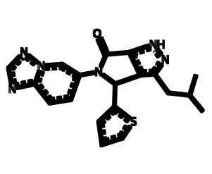 CC(C)Cc1n[nH]c2c1C(c1cccs1)N(c1ccc3ncnn3c1)C2=O